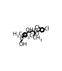 Cc1cc(C(O)CCc2nc(-c3ccc(Cl)cc3Cl)oc2C(C)C)ccc1OCCO